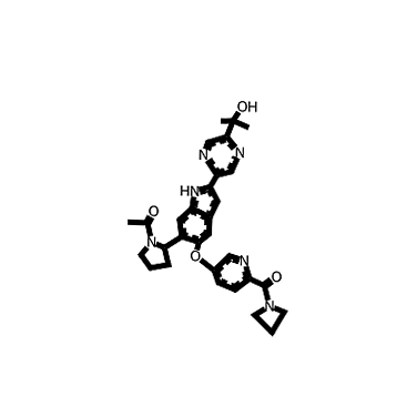 CC(=O)N1CCCC1c1cc2[nH]c(-c3cnc(C(C)(C)O)cn3)cc2cc1Oc1ccc(C(=O)N2CCC2)nc1